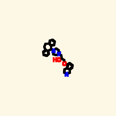 OC(COc1cccc2cnccc12)CN1CCN(C2c3ccccc3CCc3ccccc32)CC1